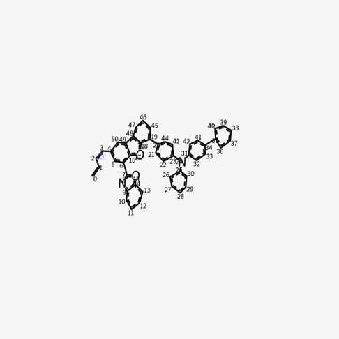 C=C/C=C\c1cc(-c2nc3ccccc3o2)c2oc3c(-c4ccc(N(c5ccccc5)c5ccc(-c6ccccc6)cc5)cc4)cccc3c2c1